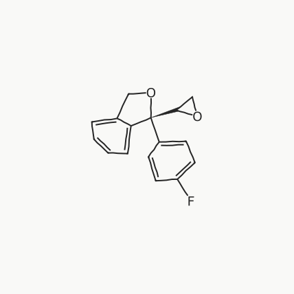 Fc1ccc([C@@]2(C3CO3)OCc3ccccc32)cc1